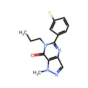 CCCn1c(-c2cccc(F)c2)nc2cnn(C)c2c1=O